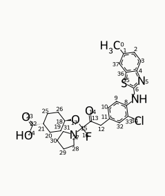 Cc1ccc2nc(Nc3ccc(CC(=O)C(F)(O[C@H]4CC[C@H](C(=O)O)CC4)N4CCCC4)cc3Cl)sc2c1